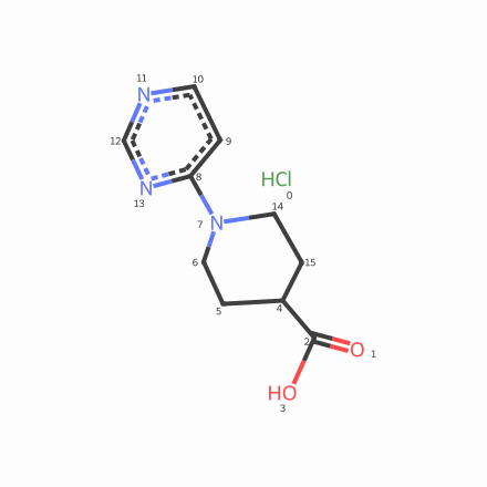 Cl.O=C(O)C1CCN(c2ccncn2)CC1